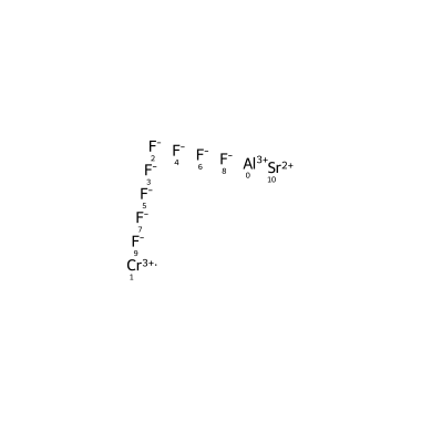 [Al+3].[Cr+3].[F-].[F-].[F-].[F-].[F-].[F-].[F-].[F-].[Sr+2]